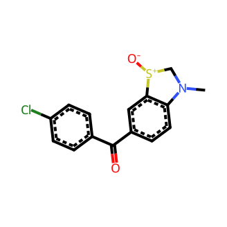 CN1C[S+]([O-])c2cc(C(=O)c3ccc(Cl)cc3)ccc21